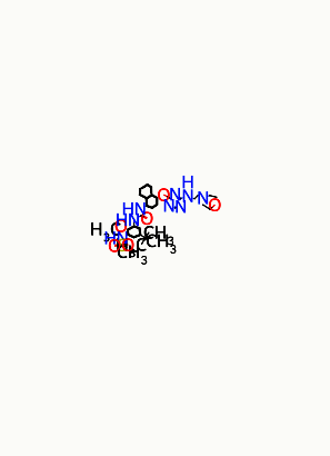 COc1c(NC(=O)Nc2ccc(Oc3ncnc(NCCN4CCOCC4)n3)c3ccccc23)cc(C(C)(C)C)cc1NS(C)(=O)=O